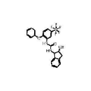 O=C(Nc1cc(S(F)(F)(F)(F)F)ccc1Oc1ccccc1)NC1c2ccccc2CC1O